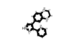 c1ccc(-c2n[nH]cc2-c2ccc3c(c2)OCCO3)nc1